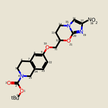 CC(C)(C)OC(=O)N1CCc2cc(OCC3CCn4cc([N+](=O)[O-])nc4O3)ccc2C1